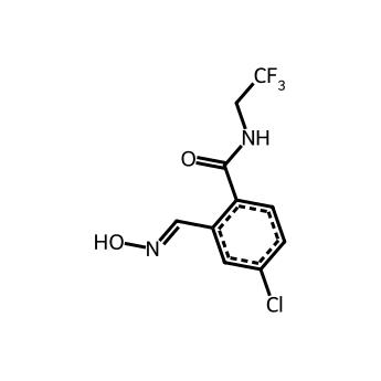 O=C(NCC(F)(F)F)c1ccc(Cl)cc1C=NO